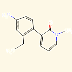 CCc1cc(N)ccc1-c1cccn(C)c1=O